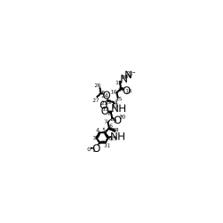 COc1ccc2c(C[C@H](OC)C(=O)N[C@@H](CCC(=O)C=[N+]=[N-])C(=O)OC(C)C)c[nH]c2c1